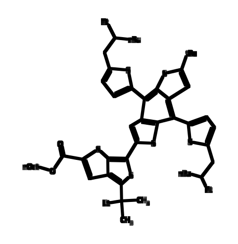 CCCCCCCCOC(=O)c1cc2c(C(C)(C)CC)sc(-c3cc4c(-c5ccc(CC(CC)CCCC)s5)c5sc(C(C)(C)C)cc5c(-c5ccc(CC(CC)CCCC)s5)c4s3)c2s1